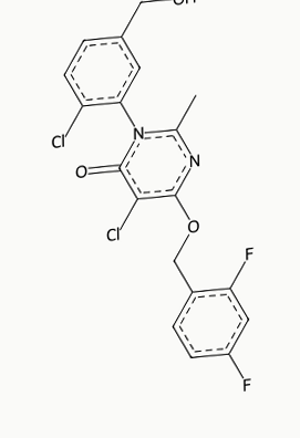 Cc1nc(OCc2ccc(F)cc2F)c(Cl)c(=O)n1-c1cc(CO)ccc1Cl